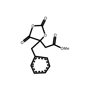 COC(=O)CC1(Cc2ccccc2)OC(=O)OC1=O